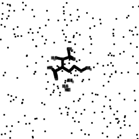 CSCCC(C(=O)O)N(C)C(C)=O.Cl.S.[AlH3]